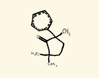 CC1(C)CCC(C)(c2ccccc2)C1=O